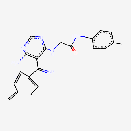 C=C/C=C\C(=C/C)C(=N)c1c(N)ncnc1NCC(=O)Nc1ccc(C)cc1